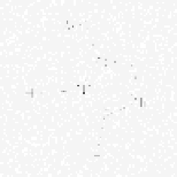 CCc1[nH]cc(OC)[n+]1C